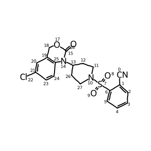 N#Cc1ccccc1S(=O)(=O)N1CCC(N2C(=O)OCc3cc(Cl)ccc32)CC1